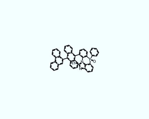 CCc1nc2cccc3c2n1-c1c(-c2c4ccccc4c(-c4cc5ccccc5c5ccccc45)c4ccccc24)cccc1P3(=O)c1ccccc1